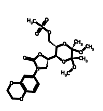 CO[C@]1(C)O[C@@H]([C@@H]2CN(c3ccc4c(c3)OCCO4)C(=O)O2)[C@H](COS(C)(=O)=O)O[C@@]1(C)OC